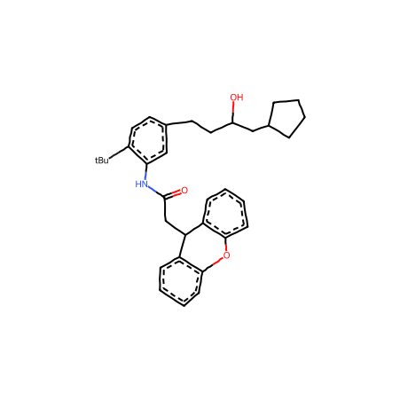 CC(C)(C)c1ccc(CCC(O)CC2CCCC2)cc1NC(=O)CC1c2ccccc2Oc2ccccc21